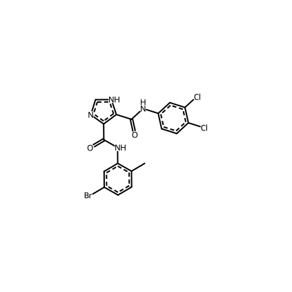 Cc1ccc(Br)cc1NC(=O)c1nc[nH]c1C(=O)Nc1ccc(Cl)c(Cl)c1